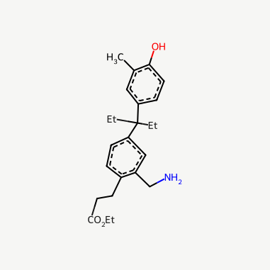 CCOC(=O)CCc1ccc(C(CC)(CC)c2ccc(O)c(C)c2)cc1CN